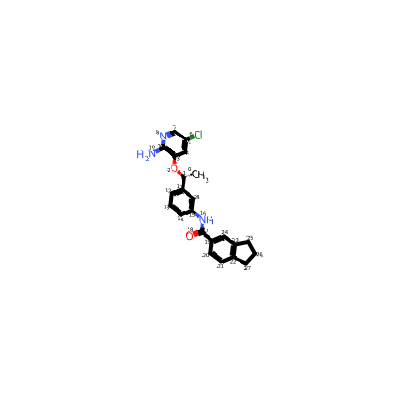 C[C@@H](Oc1cc(Cl)cnc1N)c1cccc(NC(=O)c2ccc3c(c2)CCC3)c1